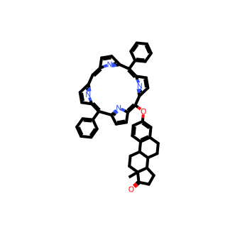 CC12CCC3c4ccc(OC5=C6C=CC(=N6)C(c6ccccc6)=C6C=CC(=N6)C=C6C=CC(=N6)C(c6ccccc6)=C6C=CC5=N6)cc4CCC3C1CCC2=O